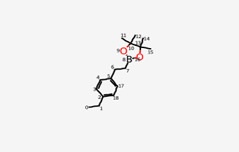 CCc1ccc(CCB2OC(C)(C)C(C)(C)O2)cc1